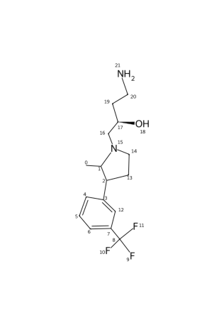 CC1C(c2cccc(C(F)(F)F)c2)CCN1C[C@H](O)CCN